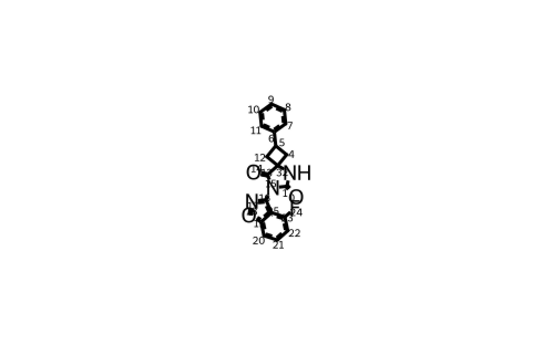 O=C1NC2(CC(c3ccccc3)C2)C(=O)N1c1noc2cccc(F)c12